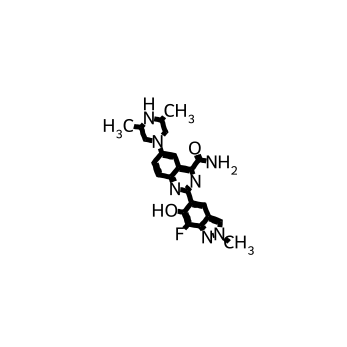 CC1CN(c2ccc3nc(-c4cc5cn(C)nc5c(F)c4O)nc(C(N)=O)c3c2)CC(C)N1